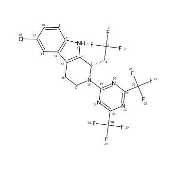 FC(F)(F)C[C@H]1c2[nH]c3ccc(Cl)cc3c2CCN1c1nc(C(F)(F)F)nc(C(F)(F)F)n1